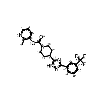 Cc1ncccc1OC(=O)N1CCC(c2nc(-c3cccc(C(F)(F)F)c3)n[nH]2)CC1